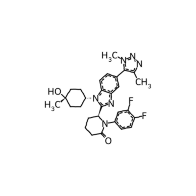 Cc1nnn(C)c1-c1ccc2c(c1)nc([C@@H]1CCCC(=O)N1c1ccc(F)c(F)c1)n2[C@H]1CC[C@@](C)(O)CC1